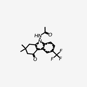 CC(=O)Nn1c2c(c3cc(C(F)(F)F)ccc31)C(=O)CC(C)(C)C2